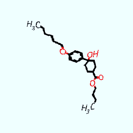 CCCCCCOc1ccc(C2(O)CCC(C(=O)OCCCC)CC2)cc1